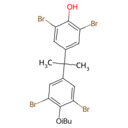 CC(C)COc1c(Br)cc(C(C)(C)c2cc(Br)c(O)c(Br)c2)cc1Br